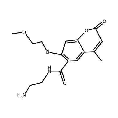 COCCOc1cc2oc(=O)cc(C)c2cc1C(=O)NCCN